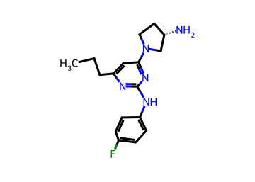 CCCc1cc(N2CC[C@H](N)C2)nc(Nc2ccc(F)cc2)n1